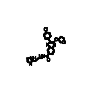 O=C(NCCCc1ncc[nH]1)c1ccc2nc(O[C@H]3CCOC3)c(-c3ccc(Cl)cc3)nc2c1